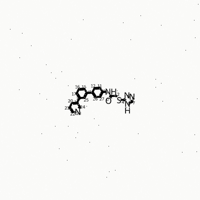 O=C(CSc1nnc[nH]1)Nc1ccc(-c2cccc(-c3cccnc3)c2)cc1